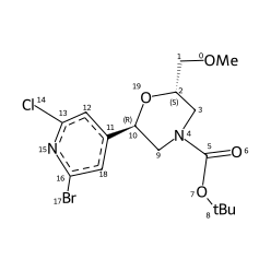 COC[C@@H]1CN(C(=O)OC(C)(C)C)C[C@@H](c2cc(Cl)nc(Br)c2)O1